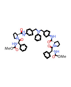 COC(=O)N[C@H](C(=O)N1CCC[C@H]1C(=O)Nc1ccc(CN(Cc2ccc(NC(=O)[C@@H]3CCCN3C(=O)[C@H](NC(=O)OC)c3ccccc3)cc2)c2ccccc2)cc1)c1ccccc1